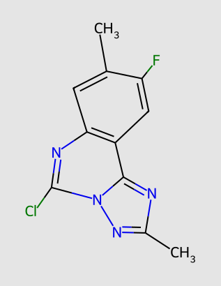 Cc1nc2c3cc(F)c(C)cc3nc(Cl)n2n1